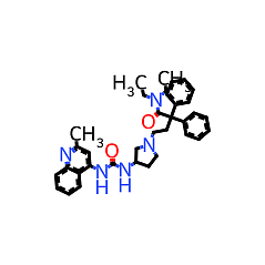 CCN(CC)C(=O)C(CCN1CCC(NC(=O)Nc2cc(C)nc3ccccc23)C1)(c1ccccc1)c1ccccc1